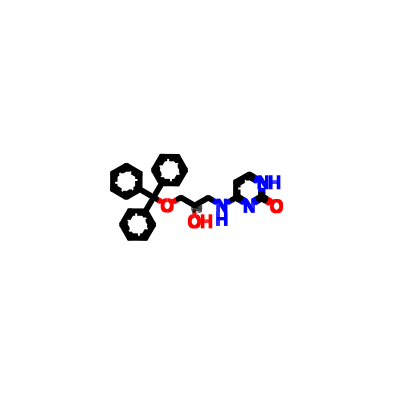 O=c1nc(NC[C@H](O)COC(c2ccccc2)(c2ccccc2)c2ccccc2)cc[nH]1